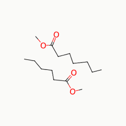 CCCCCC(=O)OC.CCCCCCC(=O)OC